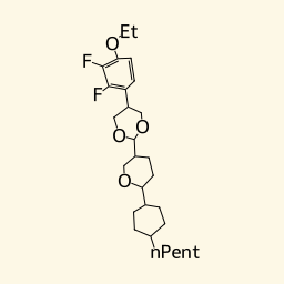 CCCCCC1CCC(C2CCC(C3OCC(c4ccc(OCC)c(F)c4F)CO3)CO2)CC1